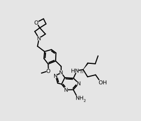 CCC[C@@H](CCO)Nc1nc(N)nc2cnn(Cc3ccc(CN4CC5(CCO5)C4)cc3OC)c12